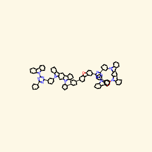 c1ccc(-c2cccc(-n3c4ccccc4c4cc5c6ccccc6n(-c6cccc(-c7nc(-c8ccc9oc%10cc(-c%11ccc(-c%12ccccc%12-n%12c%13ccccc%13c%13cc%14c%15ccccc%15n(-c%15cccc(-c%16nc(-c%17ccccc%17)nc(-n%17c%18ccccc%18c%18ccccc%18%17)n%16)c%15)c%14cc%13%12)cc%11)ccc%10c9c8)nc(-n8c9ccccc9c9ccccc98)n7)c6)c5cc43)c2)cc1